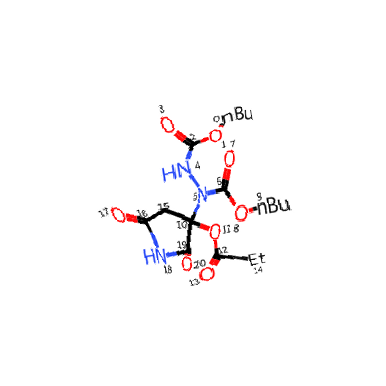 CCCCOC(=O)NN(C(=O)OCCCC)C1(OC(=O)CC)CC(=O)NC1=O